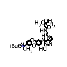 C/C(=N\OCC(C)C)c1cccc(Oc2ccc(Nc3ncnc4ccn(CCNC(=O)CC(C)(C)O)c34)cc2Cl)c1.Cl